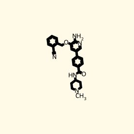 CN1CCC(NC(=O)c2ccc(-c3cnc(N)c(OCc4ccccc4C#N)c3)cc2)CC1